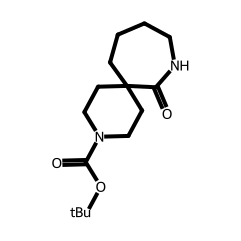 CC(C)(C)OC(=O)N1CCC2(CCCCNC2=O)CC1